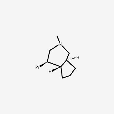 CC(C)[C@H]1CN(C)C[C@H]2CCC[C@@H]21